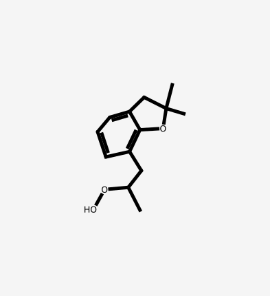 CC(Cc1cccc2c1OC(C)(C)C2)OO